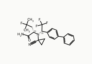 CC(C)(F)C[C@@H](C(N)=O)N([C@@H](c1ccc(-c2ccccc2)cc1)C(F)(F)F)C1(C#N)CC1